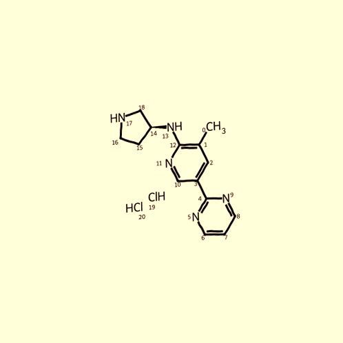 Cc1cc(-c2ncccn2)cnc1N[C@H]1CCNC1.Cl.Cl